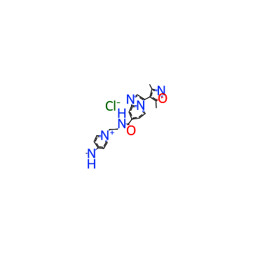 CNc1cc[n+](CCNC(=O)c2ccn3c(-c4c(C)noc4C)cnc3c2)cc1.[Cl-]